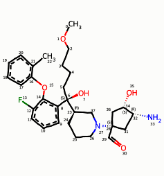 COCCCC[C@@](O)(c1cccc(F)c1Oc1ccccc1C)[C@@H]1CCCN([C@@]2(C=O)C[C@@H](N)[C@@H](O)C2)C1